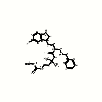 CC(C)(CCNC(=O)OC(C)(C)C)CC(=O)N(CCC1CNc2ccc(F)cc21)COCc1ccccc1